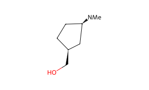 CN[C@@H]1CC[C@H](CO)C1